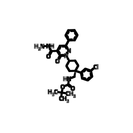 CC(C)(C)OC(=O)NC[C@]1(c2cccc(Cl)c2)CC[C@H](n2nc(-c3ccccc3)cc(C(=O)NN)c2=O)CC1